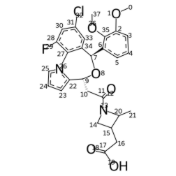 COc1cccc([C@H]2O[C@H](CC(=O)N3CC(CC(=O)O)C3C)c3cccn3-c3c(F)cc(Cl)cc32)c1OC